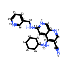 N#Cc1cnc2cnc(NCc3cccnc3)cc2c1NC1CCCCC1